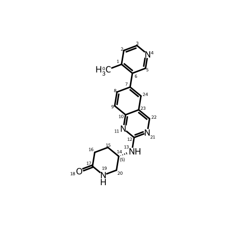 Cc1ccncc1-c1ccc2nc(N[C@H]3CCC(=O)NC3)ncc2c1